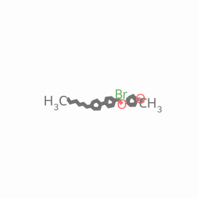 CCCCCCCC1CCC(c2ccc(COc3ccc(OC)cc3Br)cc2)CC1